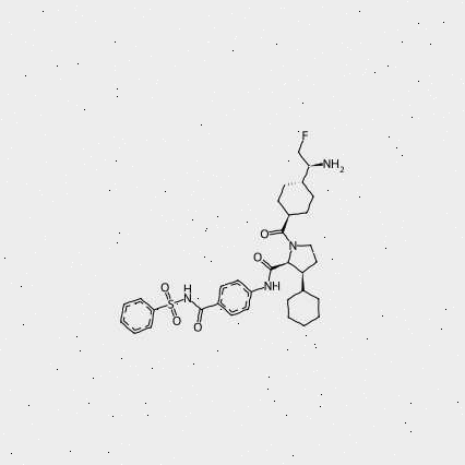 N[C@H](CF)[C@H]1CC[C@H](C(=O)N2CC[C@@H](C3CCCCC3)[C@H]2C(=O)Nc2ccc(C(=O)NS(=O)(=O)c3ccccc3)cc2)CC1